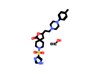 Cc1ccc(N2CCN(CCC3CC4(CCN(S(=O)(=O)c5c[nH]cn5)CC4)C(=O)O3)CC2)cc1.O=CO